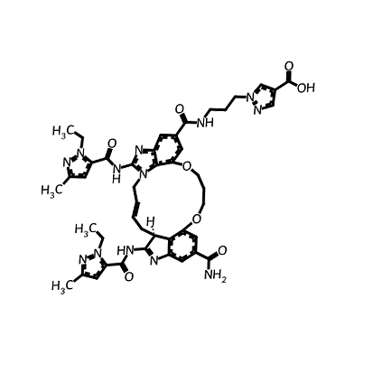 CCn1nc(C)cc1C(=O)NC1=Nc2cc(C(N)=O)cc3c2[C@@H]1C/C=C/Cn1c(NC(=O)c2cc(C)nn2CC)nc2cc(C(=O)NCCCn4cc(C(=O)O)cn4)cc(c21)OCCCO3